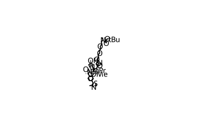 COc1cc(-c2scnc2C)ccc1[C@H](C)NC(=O)[C@@H]1C[C@@H](O)CN1C(=O)[C@@H](c1cc(OCCOCCOCCN(C)C(=O)OC(C)(C)C)no1)C(C)C